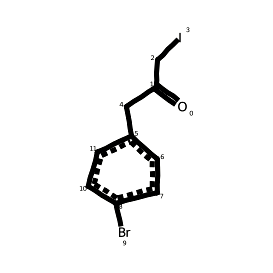 O=C(CI)Cc1ccc(Br)cc1